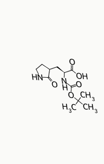 CC(C)(C)OC(=O)N[C@@H](CC1CCNC1=O)C(=O)O